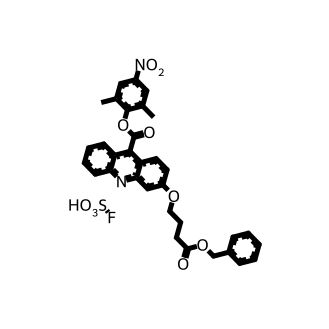 Cc1cc([N+](=O)[O-])cc(C)c1OC(=O)c1c2ccccc2nc2cc(OCCCC(=O)OCc3ccccc3)ccc12.O=S(=O)(O)F